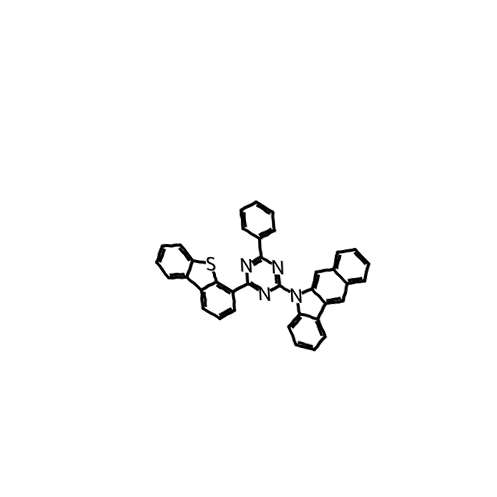 c1ccc(-c2nc(-c3cccc4c3sc3ccccc34)nc(-n3c4ccccc4c4cc5ccccc5cc43)n2)cc1